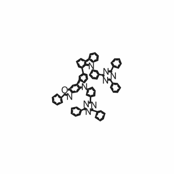 c1ccc(-c2nc(-c3ccccc3)nc(-c3cccc(-n4c5ccc(-c6cccc7c8ccccc8n(-c8cccc(-c9nc(-c%10ccccc%10)nc(-c%10ccccc%10)n9)c8)c67)cc5c5cc6oc(-c7ccccc7)nc6cc54)c3)n2)cc1